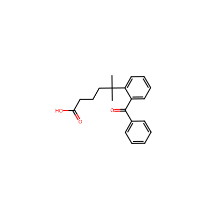 CC(C)(CCCC(=O)O)c1ccccc1C(=O)c1ccccc1